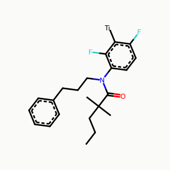 CCCC(C)(C)C(=O)N(CCCc1ccccc1)c1ccc(F)[c]([Ti])c1F